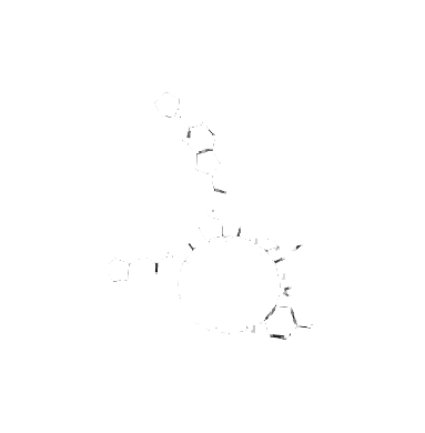 C=C[C@@H]1C[C@@]12NC(=O)[C@@H]1C[C@@H](OC(=O)N3Cc4cnc(N5CCCC5)nc4C3)CN1C(=O)[C@@H](NC(=O)OC1CCCC1)CCCCCCCNc1ccc(F)cc1S(=O)(=O)NC2=O